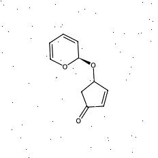 O=C1C=CC(O[C@@H]2C=CC=CO2)C1